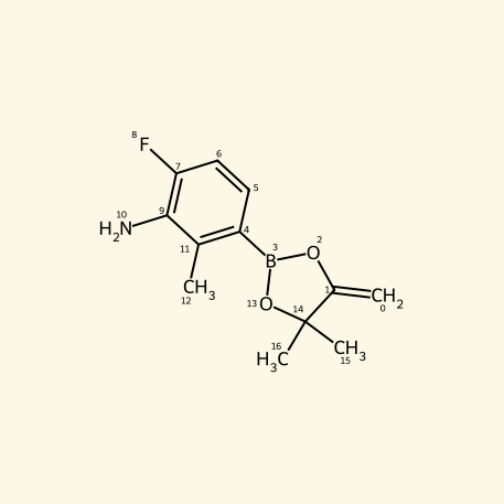 C=C1OB(c2ccc(F)c(N)c2C)OC1(C)C